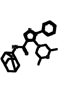 CC1CN(c2c(C(=O)NC3C4CC5CC(C4)CC3C5)cnn2-c2ccccc2)CC(C)O1